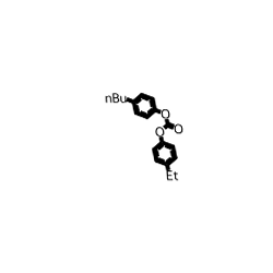 CCCCc1ccc(OC(=O)Oc2ccc(CC)cc2)cc1